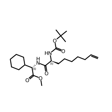 C=CCCCCC[C@H](NC(=O)OC(C)(C)C)C(=O)N[C@H](C(=O)OC)C1CCCCC1